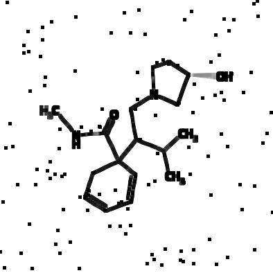 CNC(=O)C1(C(CN2CC[C@H](O)C2)C(C)C)C=CC=CC1